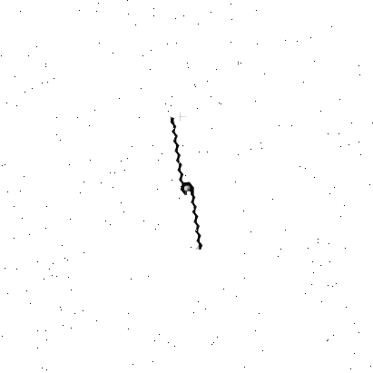 CCCCCCCCCCCCCCc1cc[n+](CCCCCCCCCCCC)cc1